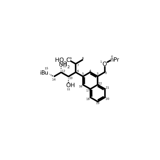 CCCOCc1cc(C(C(C)C(=O)O)[C@H](O)[C@@H](N)C[C@@H](C)CC)cc2ccccc12